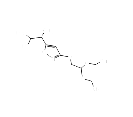 CCOC(COc1cc([C@H](C)C(C)C)on1)OCC